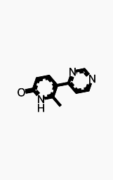 Cc1[nH]c(=O)ccc1-c1ccncn1